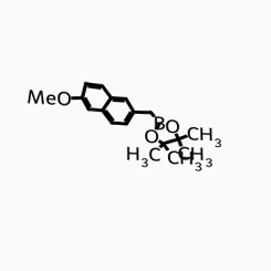 COc1ccc2cc(CB3OC(C)(C)C(C)(C)O3)ccc2c1